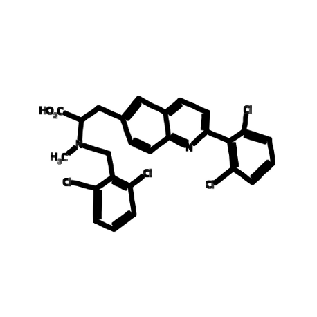 CN(Cc1c(Cl)cccc1Cl)C(Cc1ccc2nc(-c3c(Cl)cccc3Cl)ccc2c1)C(=O)O